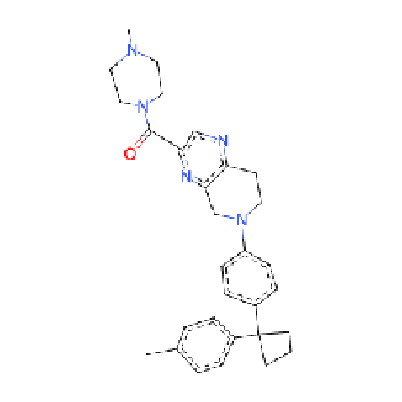 Cc1ccc(C2(c3ccc(N4CCc5ncc(C(=O)N6CCN(C)CC6)nc5C4)cc3)CCC2)cc1